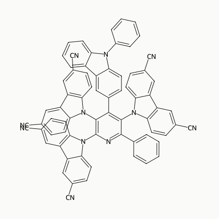 N#Cc1ccc2c(c1)c1cc(C#N)ccc1n2-c1nc(-c2ccccc2)c(-n2c3ccc(C#N)cc3c3cc(C#N)ccc32)c(-c2ccc3c(c2)c2ccccc2n3-c2ccccc2)c1-n1c2ccc(C#N)cc2c2cc(C#N)ccc21